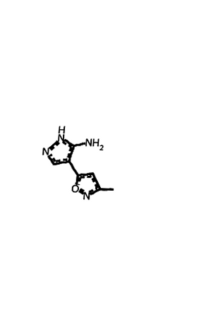 Cc1cc(-c2cn[nH]c2N)on1